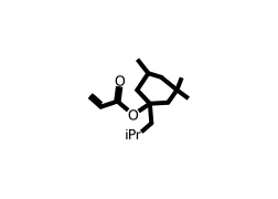 C=CC(=O)OC1(CC(C)C)CC(C)CC(C)(C)C1